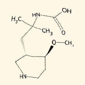 CO[C@H]1CCNC[C@@H]1CC(C)(C)NC(=O)O